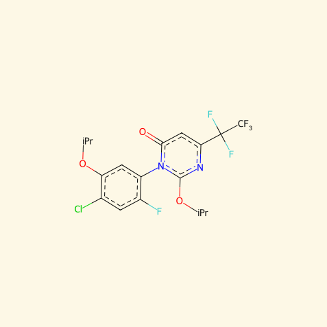 CC(C)Oc1cc(-n2c(OC(C)C)nc(C(F)(F)C(F)(F)F)cc2=O)c(F)cc1Cl